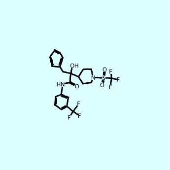 O=C(Nc1cccc(C(F)(F)F)c1)C(O)(Cc1ccccc1)C1CCN(S(=O)(=O)C(F)(F)F)CC1